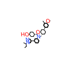 CCC(C)n1cc(-c2cccc(N(C[C@H]3CC[C@H](c4ccc(OC)c(C)c4)CC3)C(=O)[C@H]3CC[C@H](O)CC3)c2)cn1